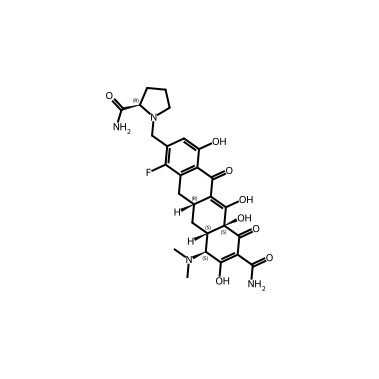 CN(C)[C@@H]1C(O)=C(C(N)=O)C(=O)[C@@]2(O)C(O)=C3C(=O)c4c(O)cc(CN5CCC[C@@H]5C(N)=O)c(F)c4C[C@H]3C[C@@H]12